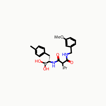 COc1cccc(CNC(=O)C(C(=O)N[C@@H](Cc2ccc(C)cc2)B(O)O)C(C)C)c1